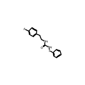 O=C(NCCc1ccc(F)cc1)NSc1ccccc1